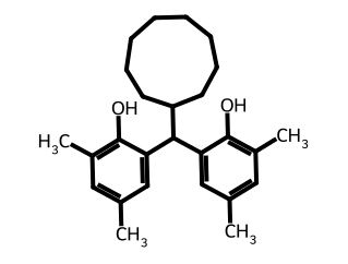 Cc1cc(C)c(O)c(C(c2cc(C)cc(C)c2O)C2CCCCCCCC2)c1